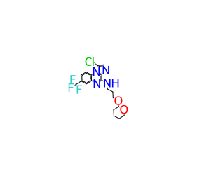 FC(F)(F)c1ccc2c(c1)nc(NCCCOC1CCCCO1)c1ncc(Cl)n12